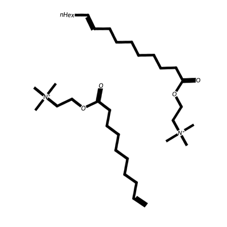 C=CCCCCCCCC(=O)OCC[N+](C)(C)C.CCCCCCC=CCCCCCCCC(=O)OCC[N+](C)(C)C